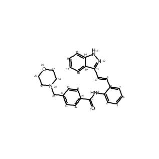 O=C(Nc1ccccc1C=Cc1n[nH]c2ccccc12)c1ccc(CN2CCOCC2)cc1